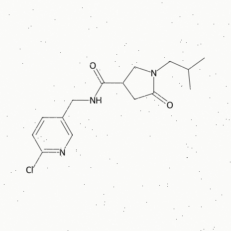 CC(C)CN1CC(C(=O)NCc2ccc(Cl)nc2)CC1=O